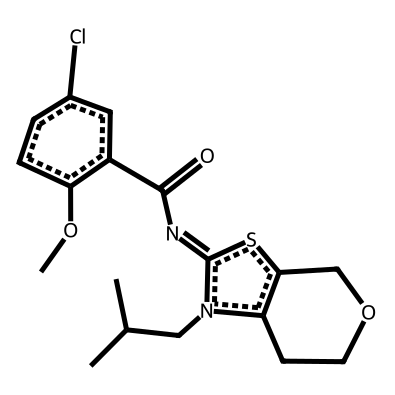 COc1ccc(Cl)cc1C(=O)N=c1sc2c(n1CC(C)C)CCOC2